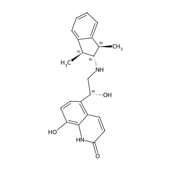 C[C@@H]1c2ccccc2[C@H](C)[C@H]1NC[C@H](O)c1ccc(O)c2[nH]c(=O)ccc12